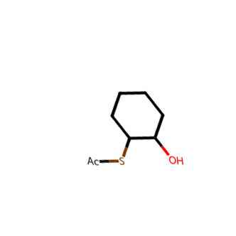 CC(=O)S[C]1CCCCC1O